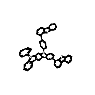 c1ccc(-n2c3ccccc3c3cc4c5cc(-c6cccc7c6oc6ccccc67)ccc5n(-c5ccc(-c6cccc7c6sc6ccccc67)cc5)c4cc32)cc1